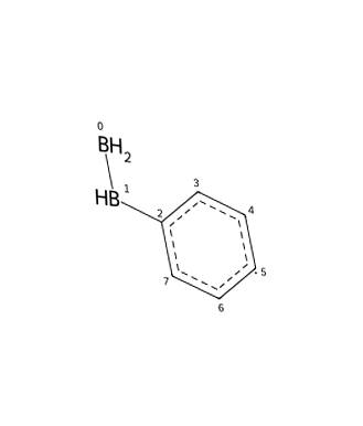 BBc1cc[c]cc1